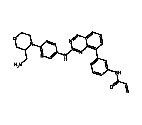 C=CC(=O)Nc1cccc(-c2cccc3cnc(Nc4ccc(N5CCOCC5CN)nc4)nc23)c1